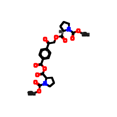 CC(C)(C)OC(=O)N1CCCC1C(=O)OC(=O)c1ccc(C(=O)COC(=O)[C@@H]2CCCN2C(=O)OC(C)(C)C)cc1